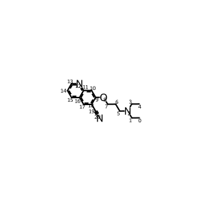 CCN(CC)CCCOc1cc2ncccc2cc1C#N